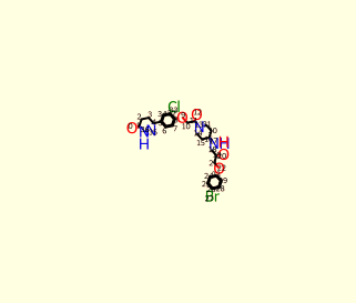 O=C1CCC(c2ccc(OCC(=O)N3CCC(NCC(O)COc4ccc(Br)cc4)CC3)c(Cl)c2)=NN1